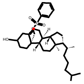 CC(C)CCC[C@@H](C)[C@H]1CC[C@H]2[C@@H]3CC=C4CC(O)CC[C@]4(COS(=O)(=O)c4ccccc4)[C@H]3CC[C@]12C